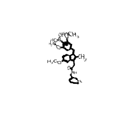 COc1ccc2c(c1)C(CC(=O)NCc1cccnc1)=C(C)/C2=C/c1cc(OC)c(B(O)O)c(OC)c1